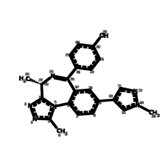 Cc1nnc2n1-c1ccc(-c3cnn(C)c3)cc1C(c1ccc(O)cc1)=N[C@H]2C